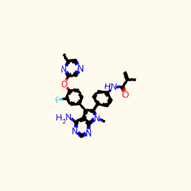 C=C(C)C(=O)Nc1ccc(-c2c(-c3ccc(Oc4cncc(C)n4)c(F)c3)c3c(N)ncnc3n2C)cc1